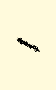 C=CC(=O)Oc1ccc(-c2ccc(OCc3ccc(-c4ccc(OC(=O)C(=C)C)cc4)cc3)cc2)cc1